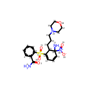 NC(=O)c1ccccc1S(=O)(=O)C1=CC=CC(N)([N+](=O)[O-])C1CCCN1CCOCC1